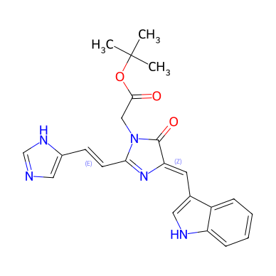 CC(C)(C)OC(=O)CN1C(=O)/C(=C/c2c[nH]c3ccccc23)N=C1/C=C/c1cnc[nH]1